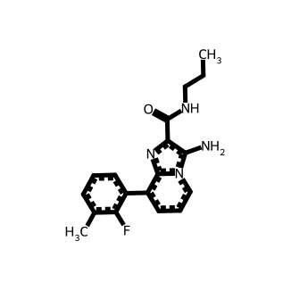 CCCNC(=O)c1nc2c(-c3cccc(C)c3F)cccn2c1N